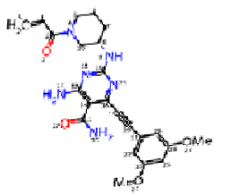 C=CC(=O)N1CCC[C@H](Nc2nc(N)c(C(N)=O)c(C#Cc3cc(OC)cc(OC)c3)n2)C1